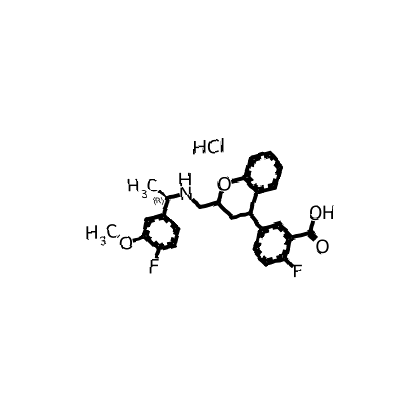 COc1cc([C@@H](C)NCC2CC(c3ccc(F)c(C(=O)O)c3)c3ccccc3O2)ccc1F.Cl